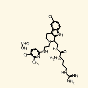 N=C(N)NCCC[C@H](N)C(=O)NCC1c2[nH]c3ccc(Cl)cc3c2CCN1CCNc1ccc(Cl)c(C(F)(F)F)n1.O=CO